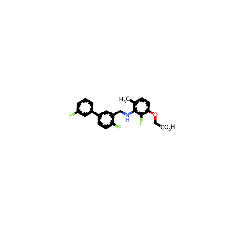 Cc1ccc(OCC(=O)O)c(F)c1NCc1cc(-c2cccc(F)c2)ccc1F